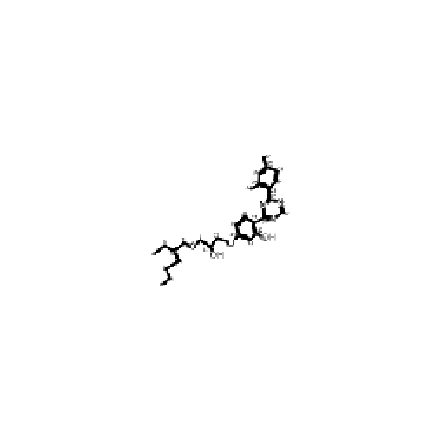 CCCCC(CC)COCC(O)COc1ccc(-c2ncnc(-c3ccc(C)cc3C)n2)c(O)c1